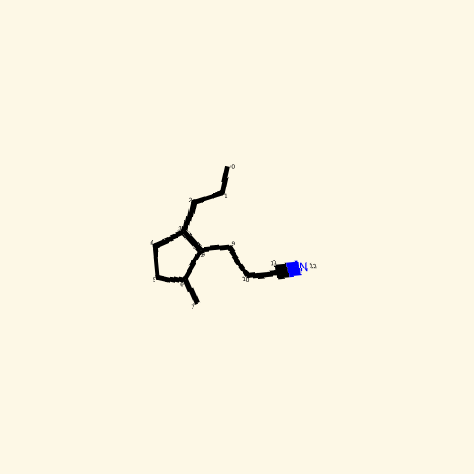 CCCC1CCC(C)C1CCC#N